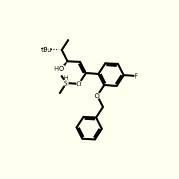 C[C@H]([C@H](O)/C=C(\O[SiH](C)C)c1ccc(F)cc1OCc1ccccc1)C(C)(C)C